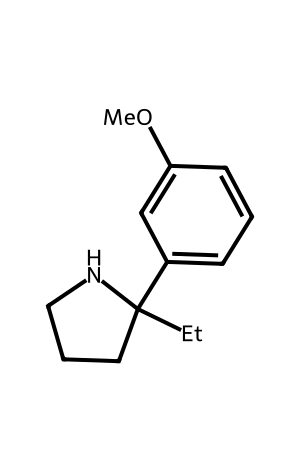 CCC1(c2cccc(OC)c2)CCCN1